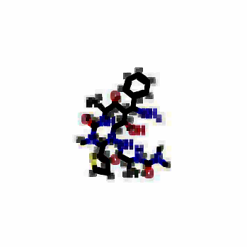 CC(C)[C@H](NC(=O)N(C)C)C(=O)NN(Cc1cccs1)C[C@H](O)C(C(=O)[C@@H](NC(=O)N(C)C)C(C)C)C(N)c1ccccc1